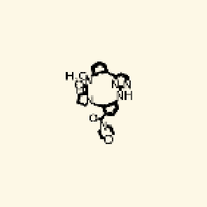 CN1C(=O)[C@@H]2CCCN2Cc2cc(ccc2C(=O)N2CCOCC2)Nc2nccc(n2)-c2cccc1c2